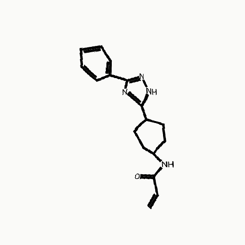 C=CC(=O)NC1CCC(c2nc(-c3ccccc3)n[nH]2)CC1